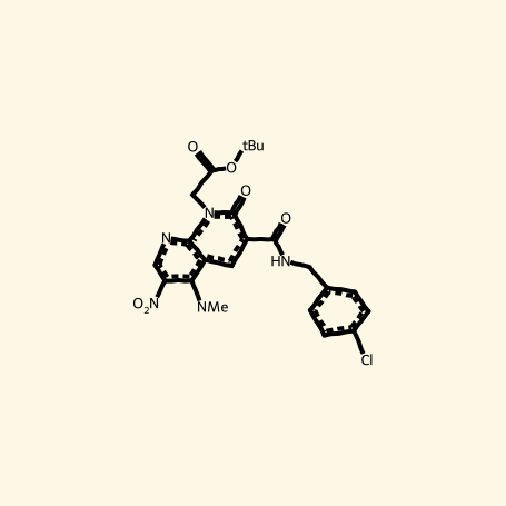 CNc1c([N+](=O)[O-])cnc2c1cc(C(=O)NCc1ccc(Cl)cc1)c(=O)n2CC(=O)OC(C)(C)C